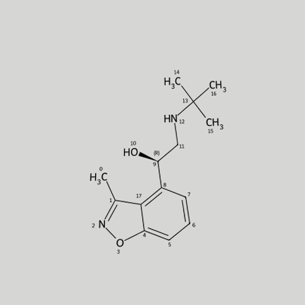 Cc1noc2cccc([C@@H](O)CNC(C)(C)C)c12